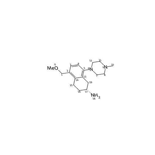 COCc1ccc(N2CCN(C)CC2)c2c1CC[C@@H](N)C2